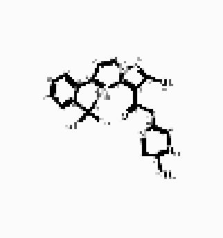 Cc1cnc(NC(=O)c2c(C)nn3ccc(-c4ccccc4C(F)(F)F)nc23)cn1